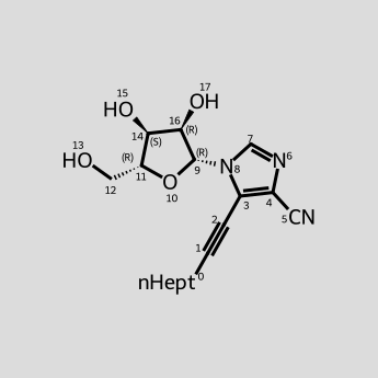 CCCCCCCC#Cc1c(C#N)ncn1[C@@H]1O[C@H](CO)[C@@H](O)[C@H]1O